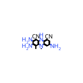 Cc1c(N)c(N)c(C#N)c2c1N(C)c1cc(N)cc(C#N)c1N2